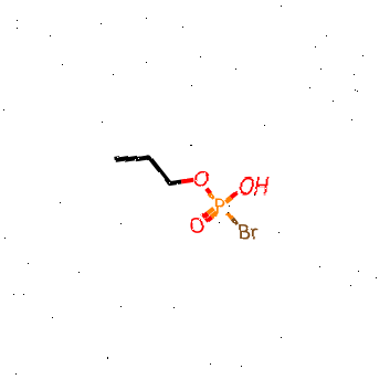 CCCOP(=O)(O)Br